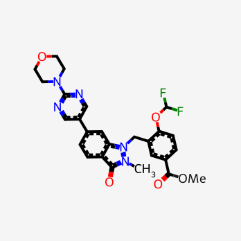 COC(=O)c1ccc(OC(F)F)c(Cn2c3cc(-c4cnc(N5CCOCC5)nc4)ccc3c(=O)n2C)c1